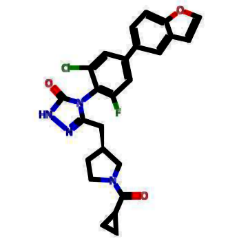 O=C(C1CC1)N1CC[C@@H](Cc2n[nH]c(=O)n2-c2c(F)cc(-c3ccc4occc4c3)cc2Cl)C1